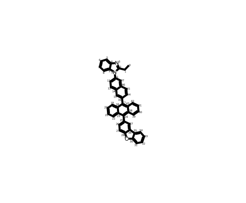 CCc1nc2ccccc2n1-c1ccc2cc(-c3c4ccccc4c(-c4ccc5oc6ccccc6c5c4)c4ccccc34)ccc2c1